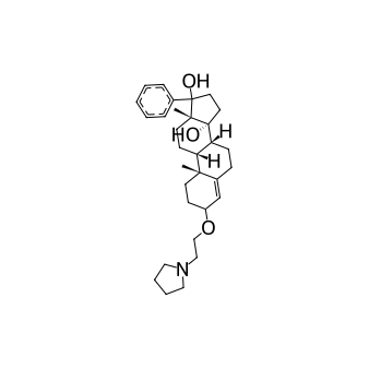 C[C@]12CCC(OCCN3CCCC3)C=C1CC[C@@H]1[C@H]2CC[C@]2(C)C(O)(c3ccccc3)CC[C@@]12O